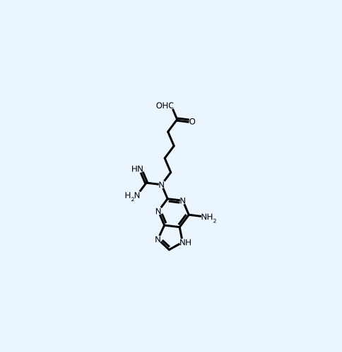 N=C(N)N(CCCCC(=O)C=O)c1nc(N)c2[nH]cnc2n1